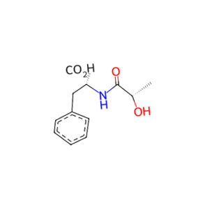 C[C@H](O)C(=O)N[C@H](Cc1ccccc1)C(=O)O